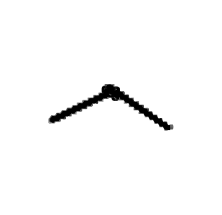 CCCCCCCCCCCCCCCCCCCCCC(=O)OC(CC)OC(=O)CCCCCCCCCCCCCCCCCCCCC